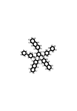 c1ccc(-c2ccc(N3c4cc5cc6ccccc6cc5cc4B4c5cc6cc7ccccc7cc6cc5N(c5ccc(-c6ccccc6)cc5)c5cc(-c6ccc7cc8ccccc8cc7c6)cc3c54)cc2)cc1